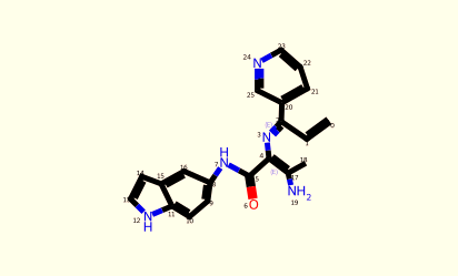 C=C/C(=N\C(C(=O)Nc1ccc2[nH]ccc2c1)=C(/C)N)c1cccnc1